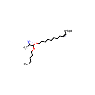 CCCCCCC/C=C\CCCCCCCCOC(OCCCCCCCCCCCCCC)C(C)N